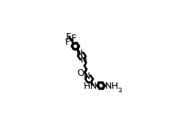 Nc1ccc(NC2CCN(C(=O)CCCN3CCN(c4ccc(C(F)(F)F)cc4)CC3)CC2)cc1